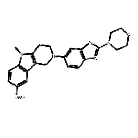 COc1ccc2c(c1)c1c(n2C)CCN(c2ccc3nc(N4CCOCC4)sc3c2)C1